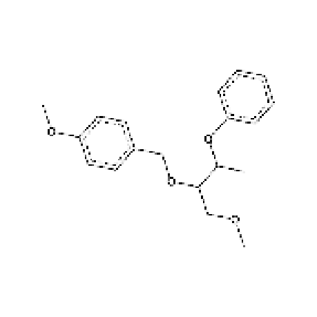 COCC(OCc1ccc(OC)cc1)C(C)Oc1ccccc1